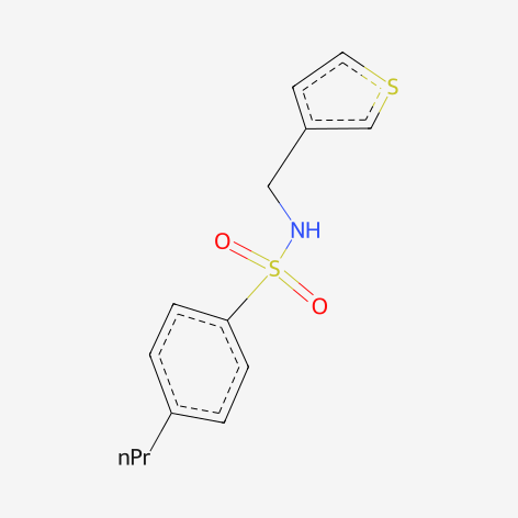 CCCc1ccc(S(=O)(=O)NCc2ccsc2)cc1